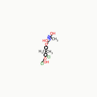 Cc1c(CO)nnn1CC(O)COc1ccc(C(C)(C)c2ccc(OCC(O)CCl)c(Cl)c2)cc1